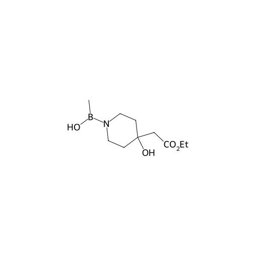 CCOC(=O)CC1(O)CCN(B(C)O)CC1